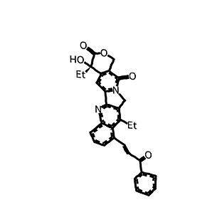 CCc1c2c(nc3cccc(C=CC(=O)c4ccccc4)c13)-c1cc3c(c(=O)n1C2)COC(=O)[C@]3(O)CC